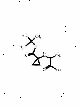 CC(NC1(C(=O)OC(C)(C)C)CC1)C(=O)O